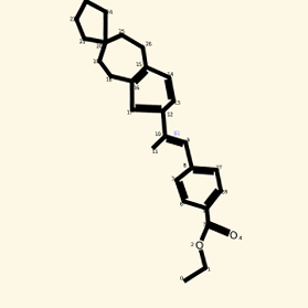 CCOC(=O)c1ccc(/C=C(\C)c2ccc3c(c2)CCC2(CCCC2)CC3)cc1